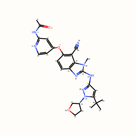 CC(=O)Nc1cc(Oc2ccc3nc(Nc4cc(C(C)(C)C)n([C@H]5CCOC5)n4)n(C)c3c2C#N)ccn1